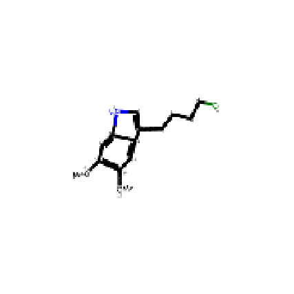 COc1cc2[nH]cc(CCCCCl)c2cc1OC